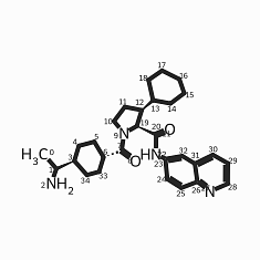 CC(N)[C@H]1CC[C@H](C(=O)N2CC[C@@H](C3CCCCC3)[C@H]2C(=O)Nc2ccc3ncccc3c2)CC1